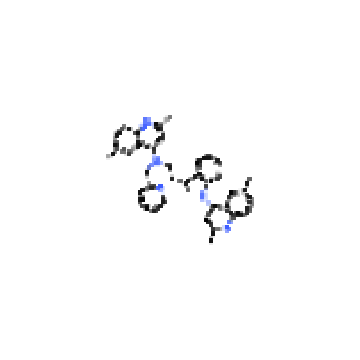 Cc1ccc2nc(C)cc(N(CCC3CN(c4cc(C)nc5ccc(C)cc45)c4ccccc43)Cc3ccccn3)c2c1